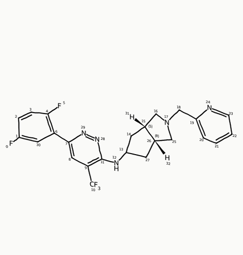 Fc1ccc(F)c(-c2cc(C(F)(F)F)c(NC3C[C@@H]4CN(Cc5ccccn5)C[C@@H]4C3)nn2)c1